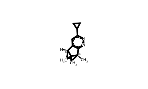 CC1(C)[C@@H]2CC[C@@]1(C)c1nnc(C3CC3)cc12